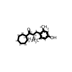 Cc1cc(O)cc(C)c1C[C@H](N)C(=O)C1CCCCCC1